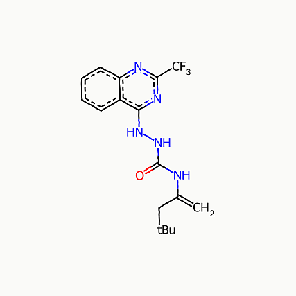 C=C(CC(C)(C)C)NC(=O)NNc1nc(C(F)(F)F)nc2ccccc12